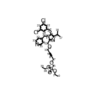 CCOP(=O)(COCC#CCOCc1nc(C(C)C)c(Sc2cc(Cl)cc(Cl)c2)n1Cc1ccncc1)OCC